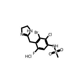 CS(=O)(=O)Nc1cc(F)c(CC2=NCCN2)c(Br)c1Cl.Cl